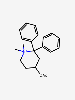 CC(=O)OC1CC[N+](C)(C)C(c2ccccc2)(c2ccccc2)C1